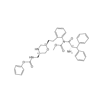 COC(=O)N(C(=O)[C@@H](N)C(c1ccccc1)c1ccccc1)c1ccccc1CC[C@@H]1CN[C@H](CNC(=O)Oc2ccccc2)CO1